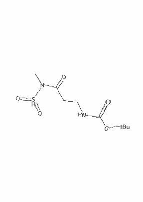 CN(C(=O)CCNC(=O)OC(C)(C)C)[SH](=O)=O